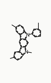 Cc1cccc(-n2c3ccc(C)cc3c3cc4c5cc(C)ccc5n(C)c4cc32)c1